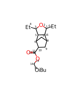 CCC1OC(CC)C2C3CC(CC3C(=O)OCOCC(C)C)C12